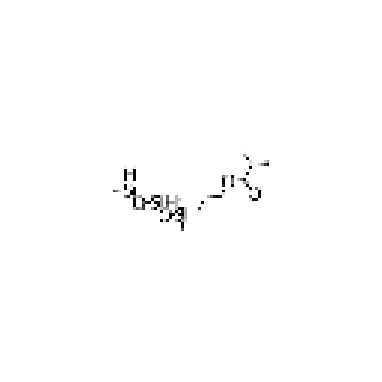 C=C(C)C(=O)OCCC[Si](C)(C)O[SiH2]O[SiH](C)C